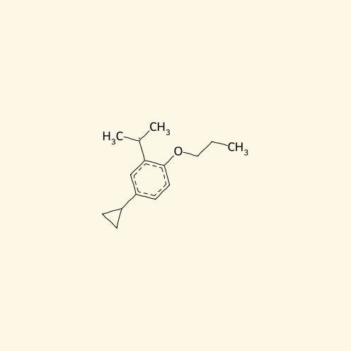 CCCOc1ccc(C2CC2)cc1[C](C)C